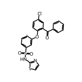 O=C(c1ccccc1)c1cc(Cl)ccc1Oc1[c]ccc(S(=O)(=O)Nc2nccs2)c1